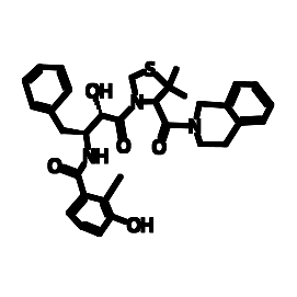 Cc1c(O)cccc1C(=O)N[C@@H](Cc1ccccc1)[C@H](O)C(=O)N1CSC(C)(C)C1C(=O)N1CCc2ccccc2C1